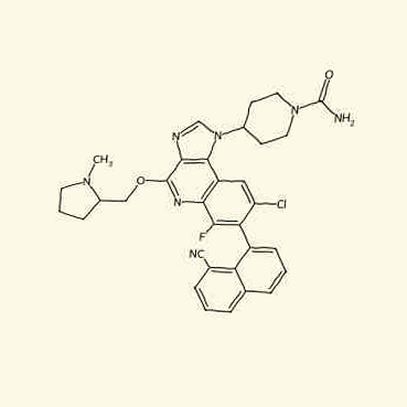 CN1CCCC1COc1nc2c(F)c(-c3cccc4cccc(C#N)c34)c(Cl)cc2c2c1ncn2C1CCN(C(N)=O)CC1